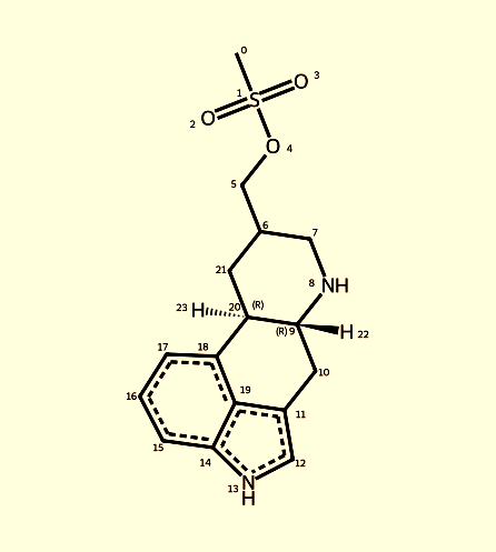 CS(=O)(=O)OCC1CN[C@@H]2Cc3c[nH]c4cccc(c34)[C@H]2C1